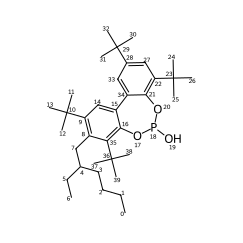 CCCCC(CC)Cc1c(C(C)(C)C)cc2c(op(O)oc3c(C(C)(C)C)cc(C(C)(C)C)cc32)c1C(C)(C)C